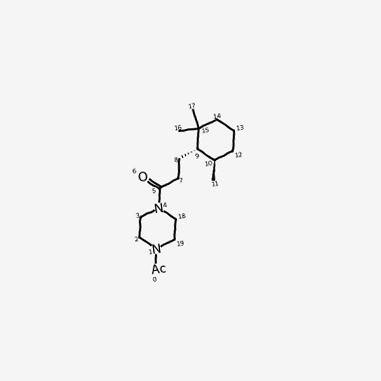 CC(=O)N1CCN(C(=O)CC[C@H]2[C@H](C)CCCC2(C)C)CC1